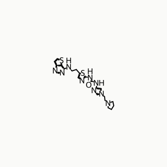 O=C(Nc1cn(CCN2CCCC2)cn1)Nc1ncc(CCNc2ncnc3ccsc23)s1